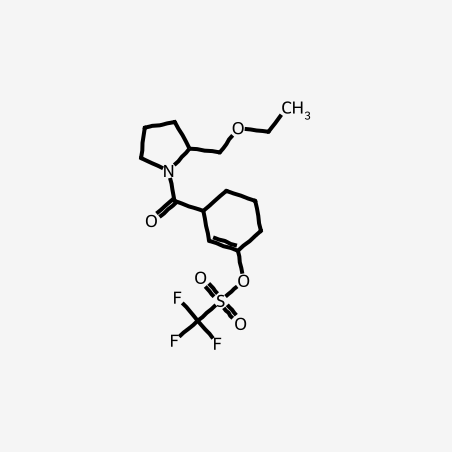 CCOCC1CCCN1C(=O)C1C=C(OS(=O)(=O)C(F)(F)F)CCC1